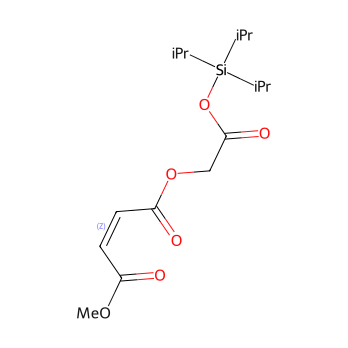 COC(=O)/C=C\C(=O)OCC(=O)O[Si](C(C)C)(C(C)C)C(C)C